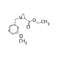 CCOC(=O)C1CN1Cc1cccc(OC)c1